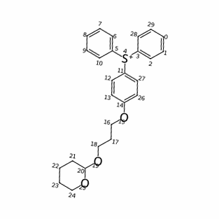 c1ccc([S+](c2ccccc2)c2ccc(OCCCOC3CCCCO3)cc2)cc1